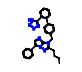 CCCCc1nn2c(-c3ccccc3)cnc2n1Cc1ccc(-c2ccccc2-c2nnn[nH]2)cc1